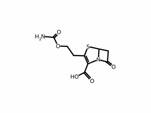 NC(=O)OCCC1=C(C(=O)O)N2C(=O)CC2S1